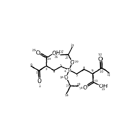 CC(=O)C(C[CH2][Ti]([CH2]CC(C(C)=O)C(=O)O)([O]C(C)C)[O]C(C)C)C(=O)O